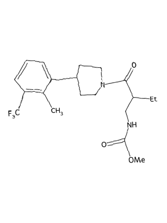 CCC(CNC(=O)OC)C(=O)N1CCC(c2cccc(C(F)(F)F)c2C)CC1